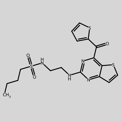 CCCCS(=O)(=O)NCCNc1nc(C(=O)c2cccs2)c2sccc2n1